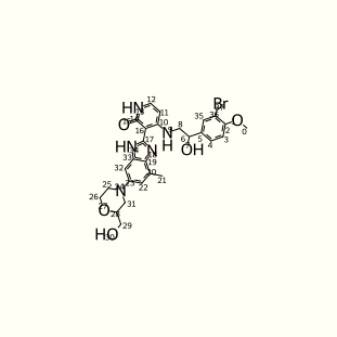 COc1ccc(C(O)CNc2cc[nH]c(=O)c2-c2nc3c(C)cc(N4CCOC(CO)C4)cc3[nH]2)cc1Br